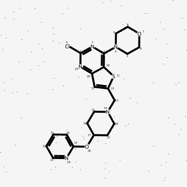 Clc1nc(N2CCOCC2)c2sc(CN3CCC(Oc4ccccn4)CC3)cc2n1